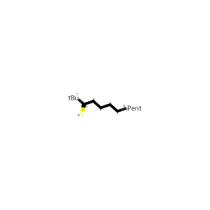 CCCC(C)CCCCC(=S)C(C)(C)C